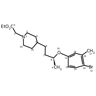 CCOC(=O)CN1CCC(CC[C@H](C)Oc2ccc(Br)c(C)c2)CC1